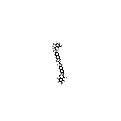 O=C(c1nc2cc3cc4oc(-c5nc6cc7cc8oc(C(=O)c9c(F)c(F)c(F)c(F)c9F)nc8cc7cc6o5)nc4cc3cc2o1)c1c(F)c(F)c(F)c(F)c1F